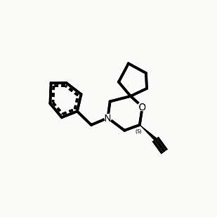 C#C[C@H]1CN(Cc2ccccc2)CC2(CCCC2)O1